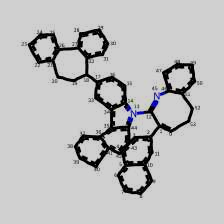 C1=C(c2ccc3ccccc3c2)\C(n2c3ccc(C4CCc5ccccc5-c5ccccc54)cc3c3c4ccccc4ccc32)=N/c2ccccc2CC/1